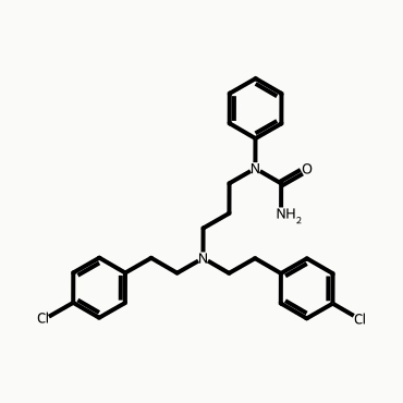 NC(=O)N(CCCN(CCc1ccc(Cl)cc1)CCc1ccc(Cl)cc1)c1ccccc1